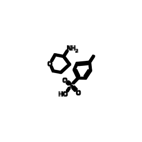 Cc1ccc(S(=O)(=O)O)cc1.NC1CCCOC1